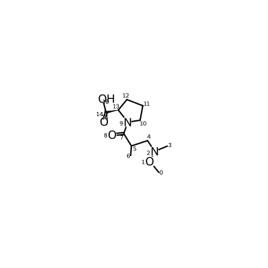 CON(C)CC(C)C(=O)N1CCC[C@@H]1C(=O)O